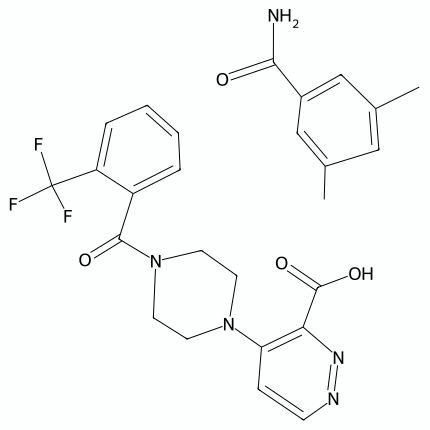 Cc1cc(C)cc(C(N)=O)c1.O=C(O)c1nnccc1N1CCN(C(=O)c2ccccc2C(F)(F)F)CC1